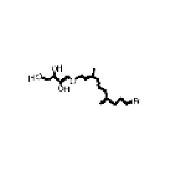 CC(=CCOCC(O)C(O)CO)CCCC(C)CCCC(C)C